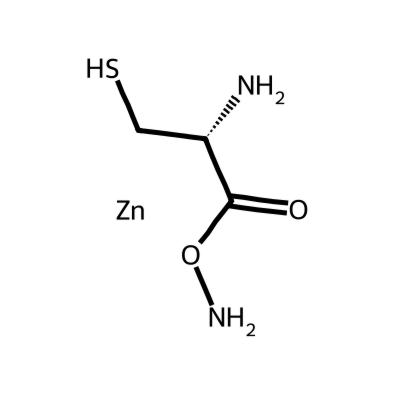 NOC(=O)[C@@H](N)CS.[Zn]